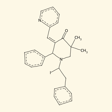 CC1(C)CN(C(I)Cc2ccccc2)C(c2ccccc2)C(=Cc2ccccn2)C1=O